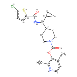 Cc1ccnc(C)c1OC(=O)N1CCC([C@@H](NC(=O)c2ccc(Cl)s2)C2CC2)CC1